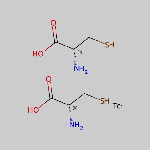 N[C@@H](CS)C(=O)O.N[C@@H](CS)C(=O)O.[Tc]